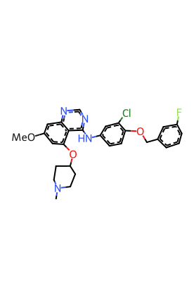 COc1cc(OC2CCN(C)CC2)c2c(Nc3ccc(OCc4cccc(F)c4)c(Cl)c3)ncnc2c1